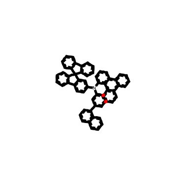 c1cc(-c2cccc3ccccc23)cc(N(c2ccc3c(c2)C2(c4ccccc4-c4ccccc42)c2ccccc2-3)c2cccc3c4ccccc4c4ccccc4c23)c1